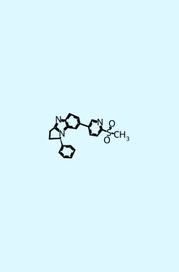 CS(=O)(=O)c1ccc(-c2ccc3nc4n(c3c2)[C@@H](c2ccccc2)CC4)cn1